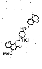 COc1cc(=O)n(CCN2CCC(NCc3ccc4c(c3)OCCO4)CC2)c2ccccc12.Cl